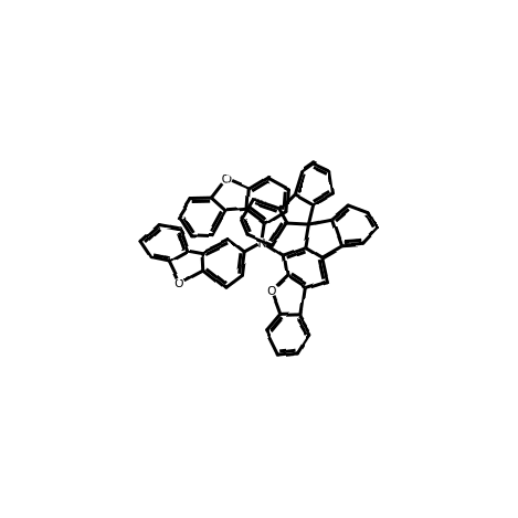 c1ccc2c(c1)-c1ccccc1C21c2ccccc2-c2cc3c(oc4ccccc43)c(N(c3ccc4oc5ccccc5c4c3)c3cccc4oc5ccccc5c34)c21